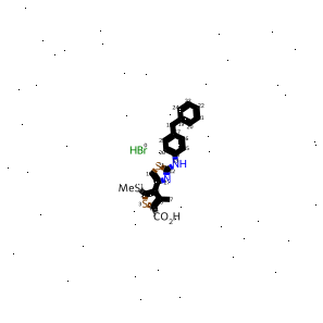 Br.CSc1sc(C(=O)O)c(C)c1-c1csc(Nc2ccc(Cc3ccccc3)cc2)n1